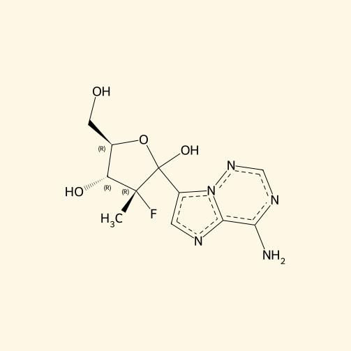 C[C@@]1(F)[C@H](O)[C@@H](CO)OC1(O)c1cnc2c(N)ncnn12